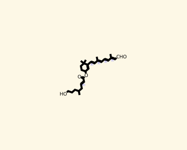 CC(/C=C/C=C(C)/C=C/C1=CC(OC(=O)/C=C/CC(C)CCCO)CCC1(C)C)=C\C=O